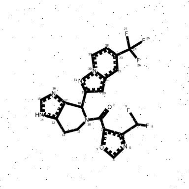 O=C(c1ocnc1C(F)F)N1CCc2[nH]cnc2C1c1cc2cc(C(F)(F)F)ccn2n1